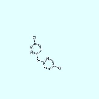 Clc1ccc(Sc2ccc(Cl)cn2)nc1